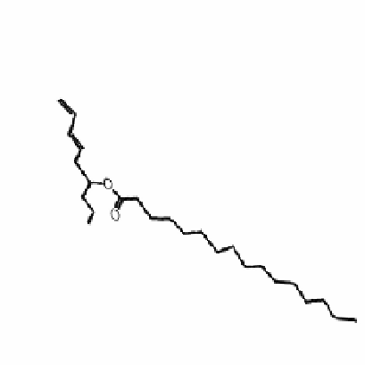 C=CC=CCC(CCC)OC(=O)CCCCCCCCCCCCCCC